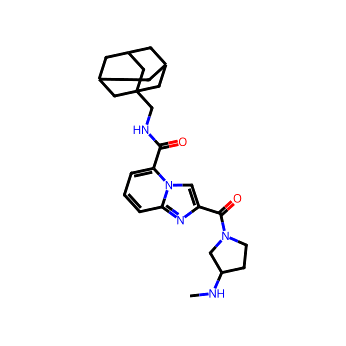 CNC1CCN(C(=O)c2cn3c(C(=O)NCC45CC6CC(CC(C6)C4)C5)cccc3n2)C1